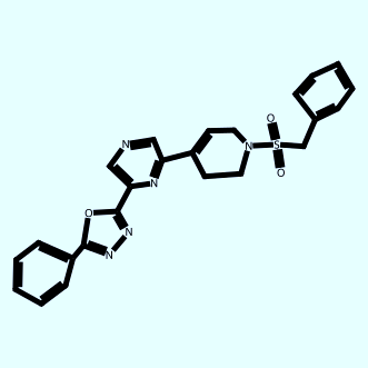 O=S(=O)(Cc1ccccc1)N1CC=C(c2cncc(-c3nnc(-c4ccccc4)o3)n2)CC1